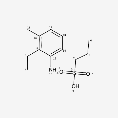 CCCS(=O)(=O)O.CCc1c(C)cccc1N